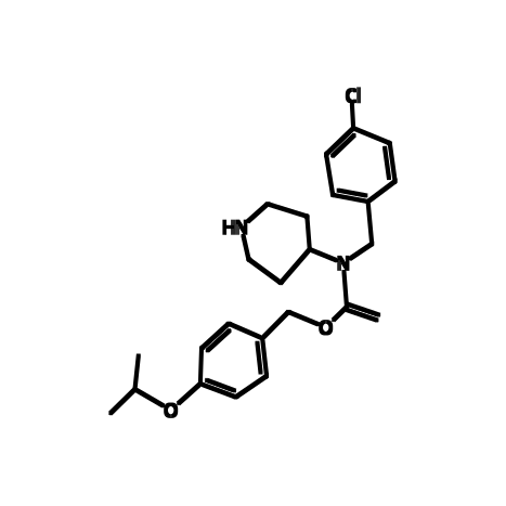 C=C(OCc1ccc(OC(C)C)cc1)N(Cc1ccc(Cl)cc1)C1CCNCC1